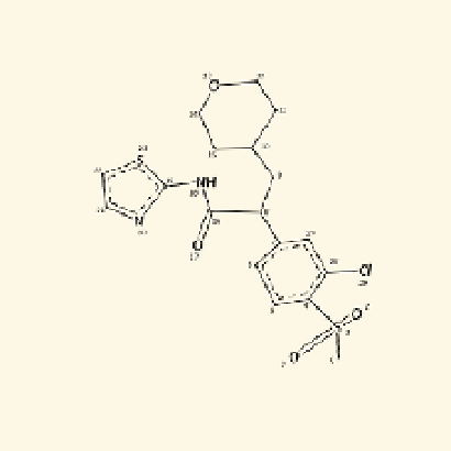 CS(=O)(=O)c1ccc(C(CC2CCOCC2)C(=O)Nc2nccs2)cc1Cl